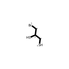 SCC(S)CBr